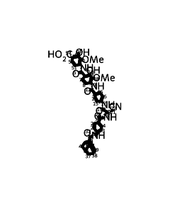 COc1c(NC(=O)c2ccc(NC(=O)c3ccc(NC(=O)[C@H](CC#N)NC(=O)c4ccc(NC(=O)C5C6CC7CC(C6)CC5C7)cc4)cc3)c(OC)c2O)ccc(C(=O)O)c1O